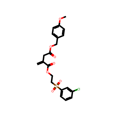 C=C(CC(=O)OCc1ccc(OC)cc1)C(=O)OCCS(=O)(=O)c1cccc(Cl)c1